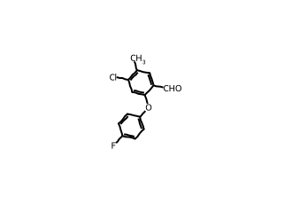 Cc1cc(C=O)c(Oc2ccc(F)cc2)cc1Cl